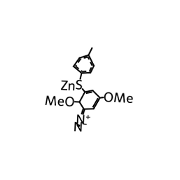 COC1=CC(=[N+]=[N-])C(OC)C(Sc2ccc(C)cc2)=C1.[Zn]